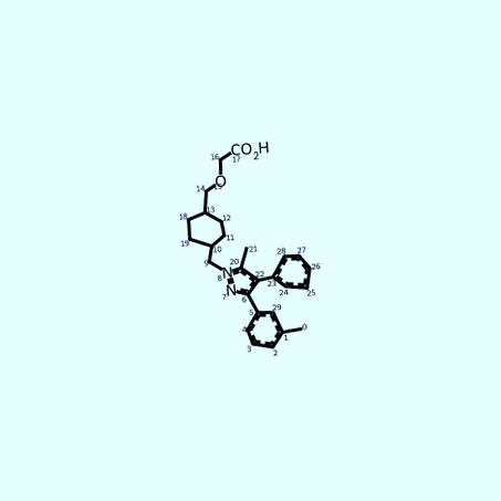 Cc1cccc(-c2nn(CC3CCC(COCC(=O)O)CC3)c(C)c2-c2ccccc2)c1